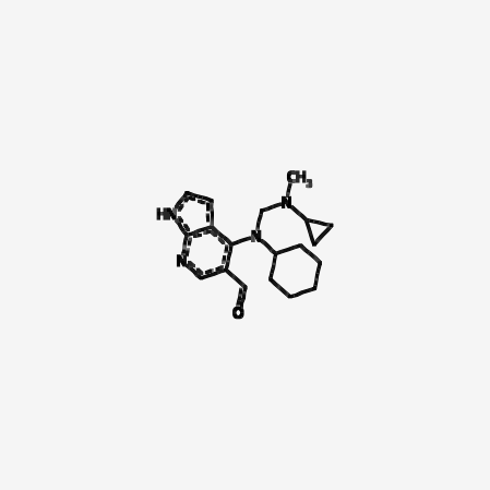 CN(CN(c1c(C=O)cnc2[nH]ccc12)C1CCCCC1)C1CC1